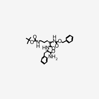 CC(C)(C)OC(=O)NCCC[C@@H](NC(=O)OCc1ccccc1)C(=O)N[C@H](Cc1ccccc1)C(N)=O